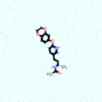 CC(=O)N[C@@H](C)/C=C/c1ccc(Oc2ccc3c(c2)OCCO3)nc1